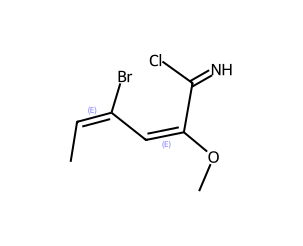 C/C=C(Br)\C=C(\OC)C(=N)Cl